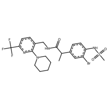 CC(C(=O)NCc1ccc(C(F)(F)F)nc1N1CCCCC1)c1ccc(NS(C)(=O)=O)c(Br)c1